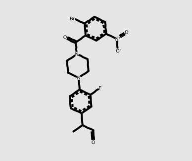 CC(C=O)c1ccc(N2CCN(C(=O)c3cc([N+](=O)[O-])ccc3Br)CC2)c(F)c1